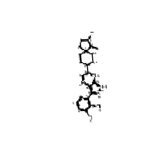 CC1C(F)CCC12CCC(c1cnc3c(-c4cccc(Cl)c4Cl)n[nH]c3n1)CC2